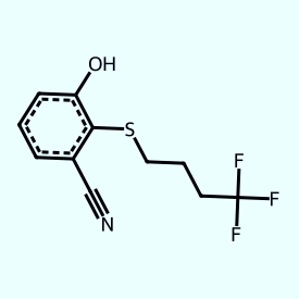 N#Cc1cccc(O)c1SCCCC(F)(F)F